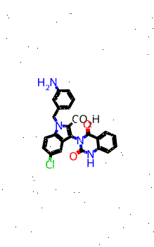 Nc1cccc(Cn2c(C(=O)O)c(-n3c(=O)[nH]c4ccccc4c3=O)c3cc(Cl)ccc32)c1